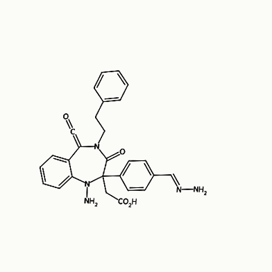 NN=Cc1ccc(C2(CC(=O)O)C(=O)N(CCc3ccccc3)C(=C=O)c3ccccc3N2N)cc1